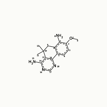 COc1ccc2c(c1N)CC(C)(C)c1c(N)ncnc1-2